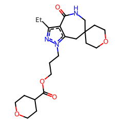 CCc1nn(CCCOC(=O)C2CCOCC2)c2c1C(=O)NCC1(CCOCC1)C2